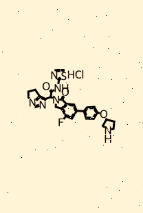 Cl.O=C(Nc1nccs1)C(c1ncn2c1CCC2)N1Cc2c(F)cc(-c3ccc(OC4CCNC4)cc3)cc2C1=O